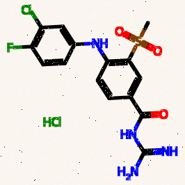 CS(=O)(=O)c1cc(C(=O)NC(=N)N)ccc1Nc1ccc(F)c(Cl)c1.Cl